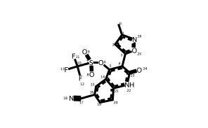 Cc1cc(-c2c(OS(=O)(=O)C(F)(F)F)c3cc(C#N)ccc3[nH]c2=O)on1